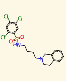 O=S(=O)(NCCCCN1CCc2ccccc2C1)c1cc(Cl)c(Cl)cc1Cl